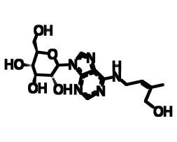 CC(=CCNc1ncnc2c1ncn2C1O[C@H](CO)[C@@H](O)[C@H](O)[C@H]1O)CO